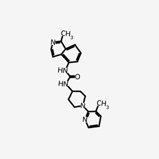 Cc1cccnc1N1CCC(NC(=O)Nc2cccc3c(C)nccc23)CC1